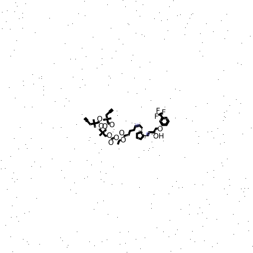 C#CCC(C)(C)C(=O)OCC(C)(COC(=O)OC(C)OC(=O)CCC/C=C\C[C@H]1CCC[C@@H]1/C=C/[C@@H](O)COc1cccc(C(F)(F)F)c1)COC(=O)C(C)(C)CC#C